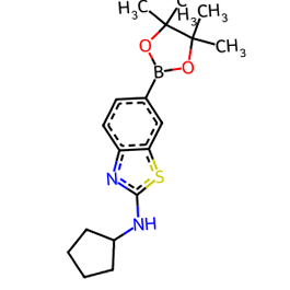 CC1(C)OB(c2ccc3nc(NC4CCCC4)sc3c2)OC1(C)C